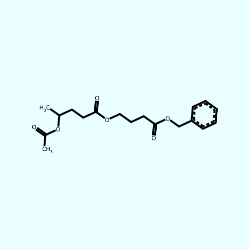 CC(=O)OC(C)CCC(=O)OCCCC(=O)OCc1ccccc1